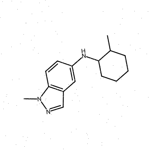 CC1CCCCC1Nc1ccc2c(cnn2C)c1